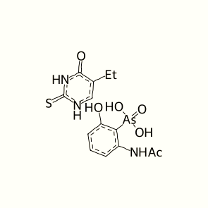 CC(=O)Nc1cccc(O)c1[As](=O)(O)O.CCc1c[nH]c(=S)[nH]c1=O